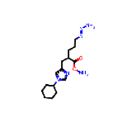 NN=NCCCC(Cc1cn(C2CCCCC2)cn1)C(=O)ON